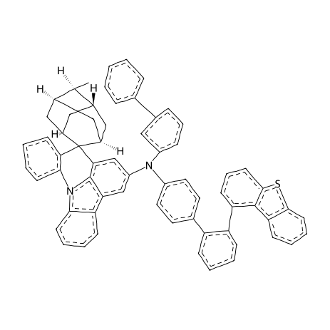 C[C@H]1[C@H]2C[C@@H]3C[C@@H]1C[C@@H](C2)C31c2ccccc2-n2c3ccccc3c3cc(N(c4ccc(-c5ccccc5-c5cccc6sc7ccccc7c56)cc4)c4cccc(-c5ccccc5)c4)cc1c32